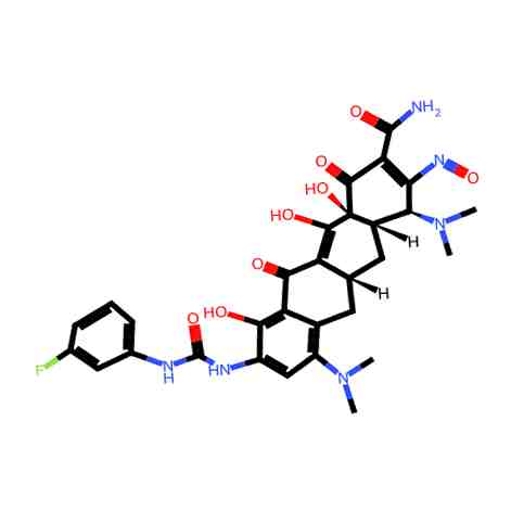 CN(C)c1cc(NC(=O)Nc2cccc(F)c2)c(O)c2c1C[C@H]1C[C@H]3[C@H](N(C)C)C(N=O)=C(C(N)=O)C(=O)[C@@]3(O)C(O)=C1C2=O